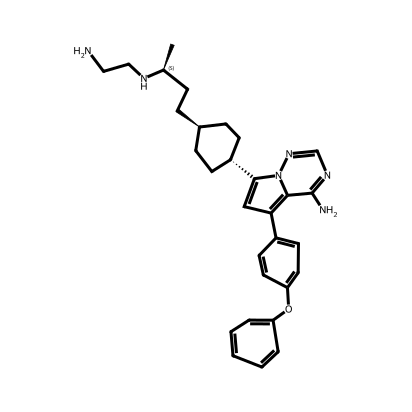 C[C@@H](CC[C@H]1CC[C@H](c2cc(-c3ccc(Oc4ccccc4)cc3)c3c(N)ncnn32)CC1)NCCN